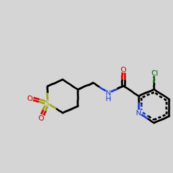 O=C(NCC1CCS(=O)(=O)CC1)c1ncccc1Cl